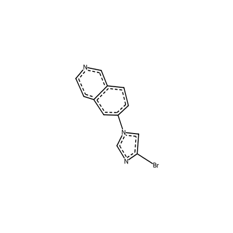 Brc1cn(-c2ccc3cnccc3c2)cn1